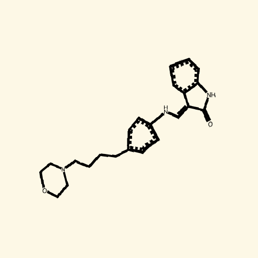 O=C1Nc2ccccc2/C1=C\Nc1ccc(CCCCN2CCOCC2)cc1